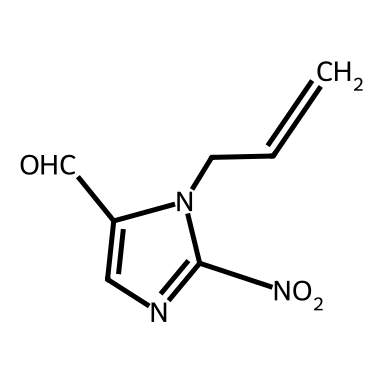 C=CCn1c(C=O)cnc1[N+](=O)[O-]